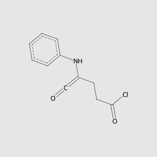 O=C=C(CCC(=O)Cl)Nc1ccccc1